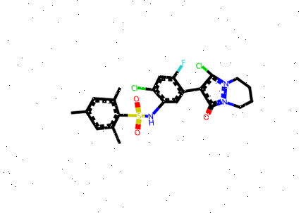 Cc1cc(C)c(S(=O)(=O)Nc2cc(-c3c(Cl)n4n(c3=O)CCCC4)c(F)cc2Cl)c(C)c1